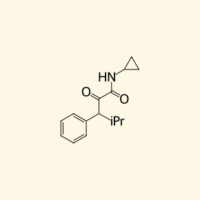 CC(C)C(C(=O)C(=O)NC1CC1)c1ccccc1